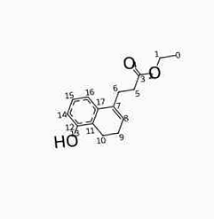 CCOC(=O)CCC1=CCCc2c(O)cccc21